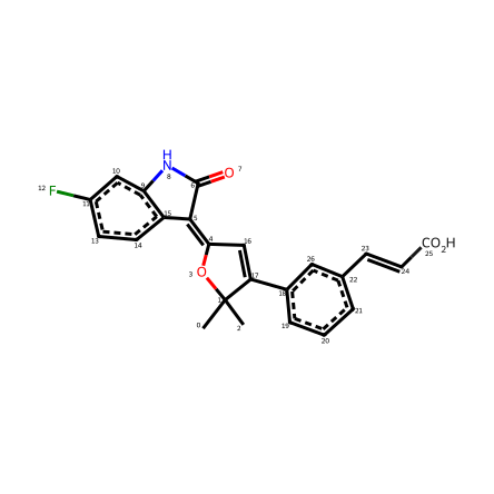 CC1(C)O/C(=C2/C(=O)Nc3cc(F)ccc32)C=C1c1cccc(/C=C/C(=O)O)c1